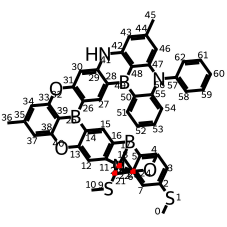 CSc1cc2c3c(c1)N(SC)c1cc4c(cc1B3c1ccccc1O2)B1c2cc3c(cc2Oc2cc(C)cc(c21)O4)Nc1cc(C)cc2c1B3c1ccccc1N2c1ccccc1